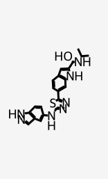 CC(C)NC(O)c1cc2ccc(-c3nnc(Nc4ccc5[nH]ncc5c4)s3)cc2[nH]1